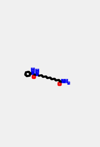 NC(=O)CCCCCCCCCCNC(=O)NC1CCCCC1